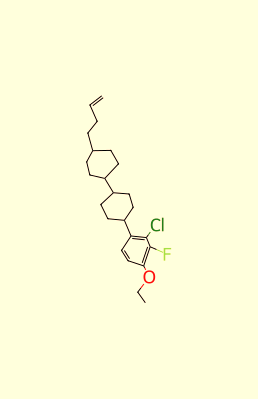 C=CCCC1CCC(C2CCC(c3ccc(OCC)c(F)c3Cl)CC2)CC1